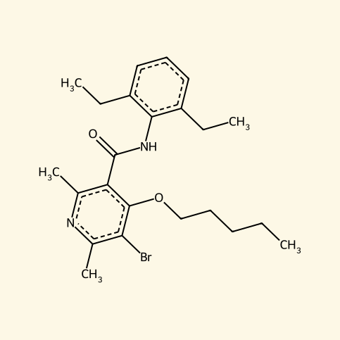 CCCCCOc1c(Br)c(C)nc(C)c1C(=O)Nc1c(CC)cccc1CC